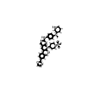 CN(c1ccc(Nc2ncc3cc(-c4ccc(-c5nnco5)cc4F)c(=O)n(C4CCN(S(C)(=O)=O)CC4)c3n2)cc1)C1CCCNC1